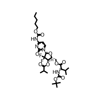 CCCCCOC(=O)Nc1ccn([C@@H]2O[C@H](COC(=O)[C@@H](NC(=O)OC(C)(C)C)C(C)C)[C@@H](OC(=O)C(C)C)C2(F)F)c(=O)n1